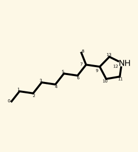 CCCCCCCC(C)C1CCNC1